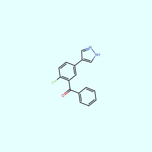 O=C(c1ccccc1)c1cc(-c2cn[nH]c2)ccc1F